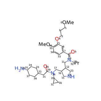 COCCCOc1cc(C(=O)N(CC2CNCC2CN(C(=O)CC2CCC(N)CC2)C2CC2)C(C)C)ccc1OC